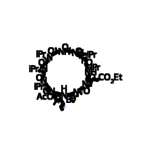 C/C=C/C[C@@H](C)[C@@H](OC(C)=O)[C@H]1C(=O)N[C@@H](CC)C(=O)N(C)[C@H](C)C(=O)N(C)[C@@H]([C@H](C)CCC(=O)OCC)C(=O)N[C@@H](C(C)C)C(=O)N(C)[C@@H](CC(C)C)C(=O)N[C@@H](C)C(=O)N[C@H](C)C(=O)N(C)[C@@H](CC(C)C)C(=O)N(C)[C@@H](CC(C)C)C(=O)N(C)[C@@H](C(C)C)C(=O)N1C